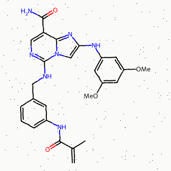 C=C(C)C(=O)Nc1cccc(CNc2ncc(C(N)=O)c3nc(Nc4cc(OC)cc(OC)c4)cn23)c1